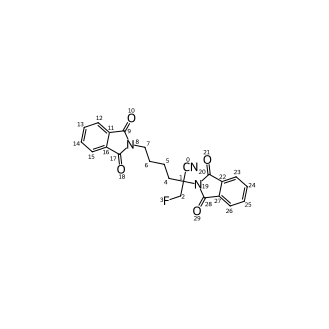 N#CC(CF)(CCCCN1C(=O)c2ccccc2C1=O)N1C(=O)c2ccccc2C1=O